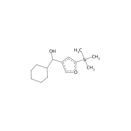 C[Si](C)(C)c1cc(C(O)C2CCCCC2)co1